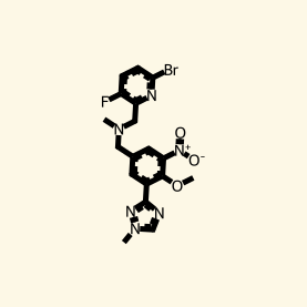 COc1c(-c2ncn(C)n2)cc(CN(C)Cc2nc(Br)ccc2F)cc1[N+](=O)[O-]